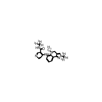 [2H]C([2H])([2H])NC(=O)c1cnccc1Nc1cccc2c1N(C)Cc1cn(C([2H])([2H])[2H])nc1-2